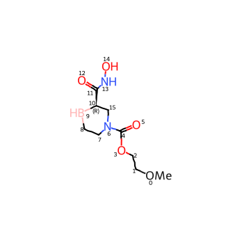 COCCOC(=O)N1CCB[C@@H](C(=O)NO)C1